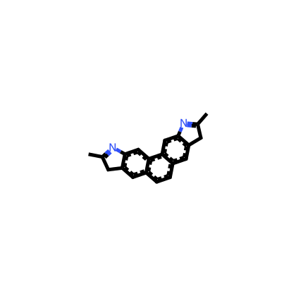 CC1=Nc2cc3c(ccc4cc5c(cc43)N=C(C)C5)cc2C1